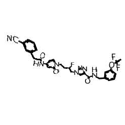 CC(F)(F)Oc1cccc(CNC(=O)c2cn(CC(F)CCn3ccc(NC(=O)Cc4cccc(C#N)c4)cc3=O)nn2)c1